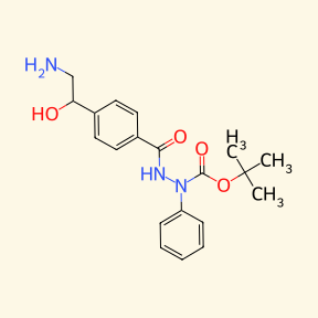 CC(C)(C)OC(=O)N(NC(=O)c1ccc(C(O)CN)cc1)c1ccccc1